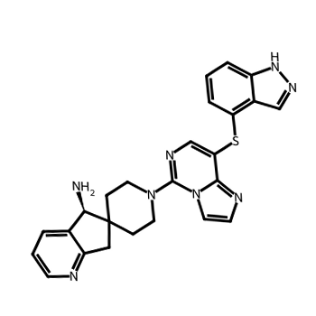 N[C@@H]1c2cccnc2CC12CCN(c1ncc(Sc3cccc4[nH]ncc34)c3nccn13)CC2